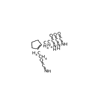 C.C.C.C.C1=CCCC1.N=C=O.N=C=O.N=C=O.N=C=O